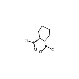 ClP(Cl)[C@H]1CCCC[C@@H]1P(Cl)Cl